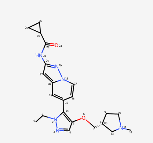 CCn1ncc(OC[C@@H]2CCN(C)C2)c1-c1ccn2nc(NC(=O)C3CC3)cc2c1